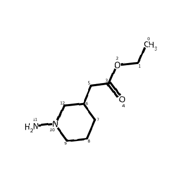 CCOC(=O)CC1CCCN(N)C1